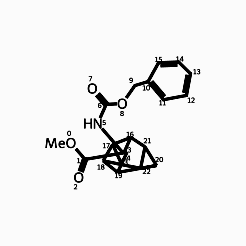 COC(=O)C1C(NC(=O)OCc2ccccc2)C2C3C4C1C1C2C1C34